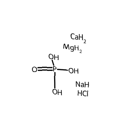 Cl.O=P(O)(O)O.[CaH2].[MgH2].[NaH]